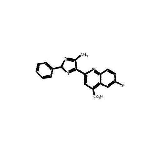 CC1=NC(c2ccccc2)N=C1c1cc(C(=O)O)c2cc(Br)ccc2n1